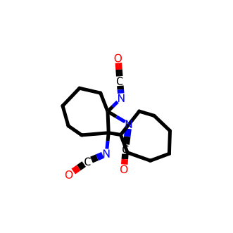 O=C=NC1(N=C=O)CCCCCC1(N=C=O)C1CCCCCC1